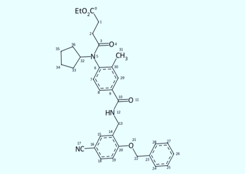 CCOC(=O)CCC(=O)N(c1ccc(C(=O)NCc2cc(C#N)ccc2OCc2ccccc2)cc1C)C1CCCC1